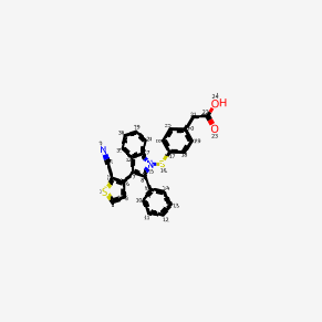 N#Cc1sccc1-c1c(-c2ccccc2)n(Sc2ccc(CC(=O)O)cc2)c2ccccc12